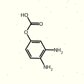 Nc1ccc(OC(=O)O)cc1N